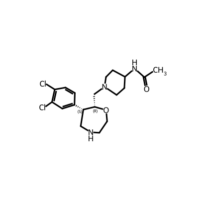 CC(=O)NC1CCN(C[C@@H]2OCCNC[C@@H]2c2ccc(Cl)c(Cl)c2)CC1